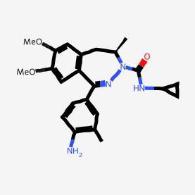 COc1cc2c(cc1OC)C(c1ccc(N)c(C)c1)=NN(C(=O)NC1CC1)[C@H](C)C2